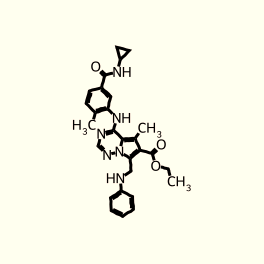 CCOC(=O)c1c(C)c2c(Nc3cc(C(=O)NC4CC4)ccc3C)ncnn2c1CNc1ccccc1